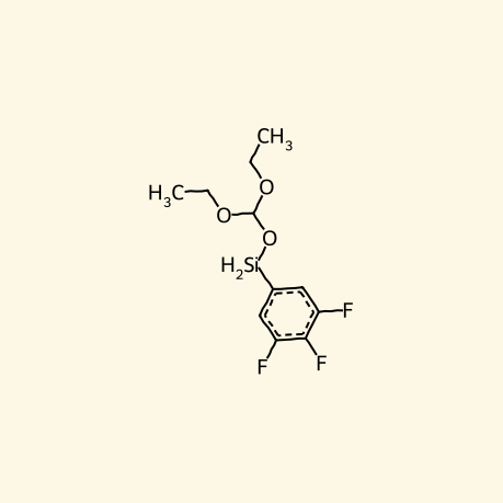 CCOC(OCC)O[SiH2]c1cc(F)c(F)c(F)c1